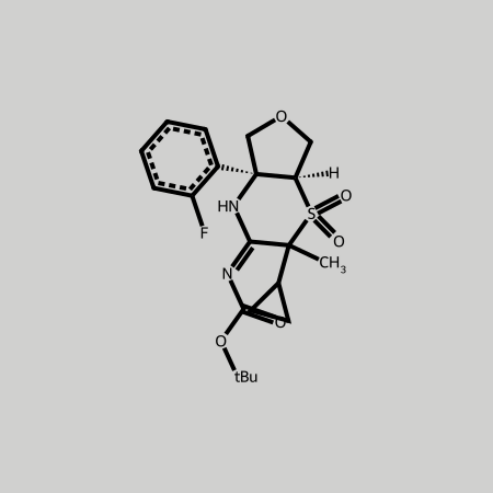 CC(C)(C)OC(=O)/N=C1/N[C@@]2(c3ccccc3F)COC[C@H]2S(=O)(=O)C1(C)C1CC1